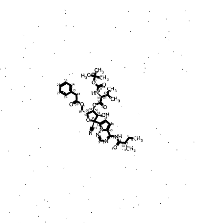 CC[C@H](C)C(=O)Nc1ncnn2c([C@]3(C#N)O[C@H](COC(=O)Cc4ccccc4)[C@@H](OC(=O)[C@@H](NC(=O)OC(C)(C)C)C(C)C)[C@H]3O)ccc12